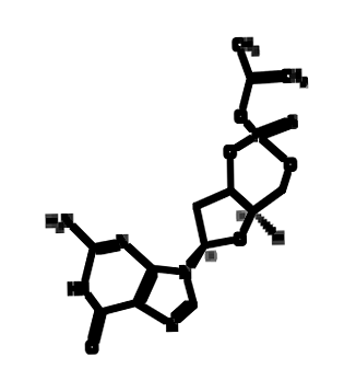 C=C(C)OP1(=S)OC[C@H]2O[C@@H](n3cnc4c(=O)[nH]c(N)nc43)CC2O1